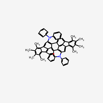 Cc1c(C)c(C)c2c(c1C)-c1ccc3c4c(N(c5ccccc5)c5ccccc5)cc5c6c(ccc(c7c(N(c8ccccc8)c8ccccc8)cc-2c1c37)c64)-c1c(C)c(C)c(C)c(C)c1-5